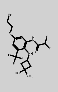 CC1(O)CC(Nc2c(NC(=O)C(F)F)cc(OCCBr)cc2C(F)(F)F)C1